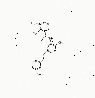 COc1cccc(/C=C/c2ccc(C)c(NC(=O)c3cccc(C)c3C)c2)c1